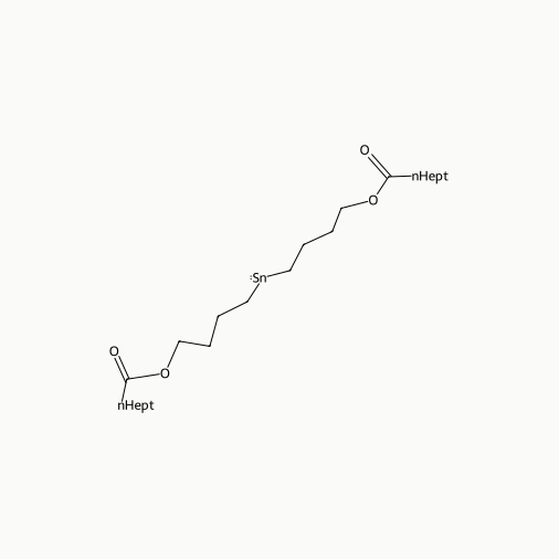 CCCCCCCC(=O)OCCC[CH2][Sn][CH2]CCCOC(=O)CCCCCCC